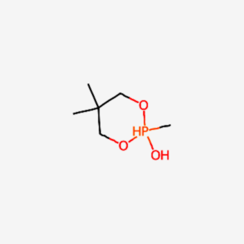 CC1(C)CO[PH](C)(O)OC1